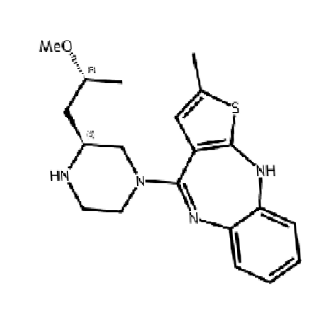 CO[C@H](C)C[C@H]1CN(C2=Nc3ccccc3Nc3sc(C)cc32)CCN1